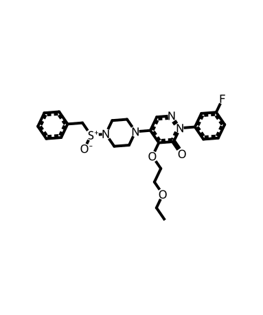 CCOCCOc1c(N2CCN([S+]([O-])Cc3ccccc3)CC2)cnn(-c2cccc(F)c2)c1=O